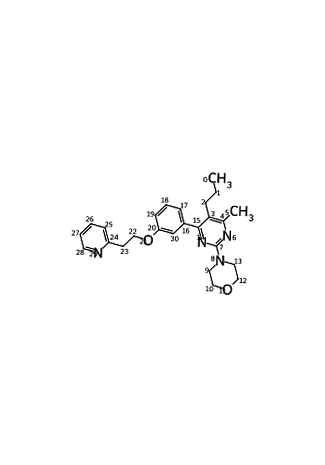 CCCc1c(C)nc(N2CCOCC2)nc1-c1cccc(OCCc2ccccn2)c1